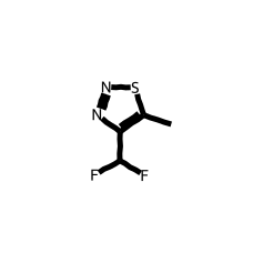 Cc1snnc1C(F)F